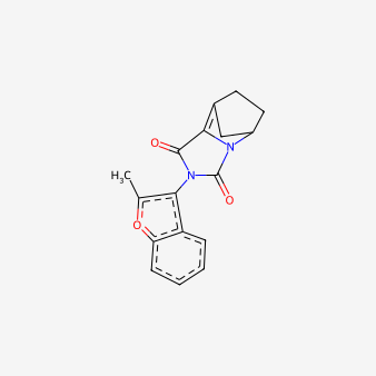 Cc1oc2ccccc2c1N1C(=O)C2=C3CCC(C3)N2C1=O